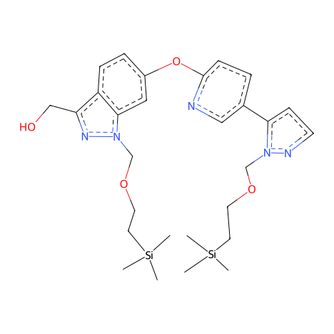 C[Si](C)(C)CCOCn1nccc1-c1ccc(Oc2ccc3c(CO)nn(COCC[Si](C)(C)C)c3c2)nc1